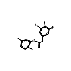 C=C(Cc1cc(F)c(C)c(F)c1)Sc1cc(C)ccc1C